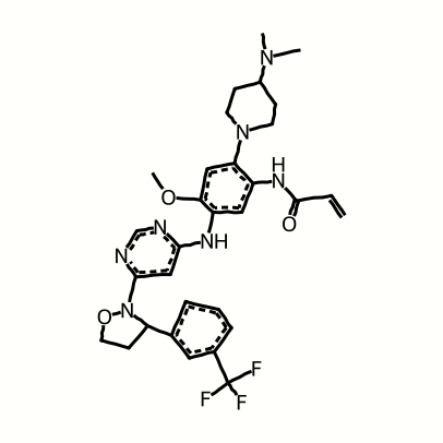 C=CC(=O)Nc1cc(Nc2cc(N3OCCC3c3cccc(C(F)(F)F)c3)ncn2)c(OC)cc1N1CCC(N(C)C)CC1